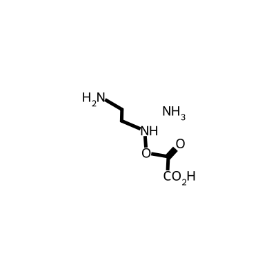 N.NCCNOC(=O)C(=O)O